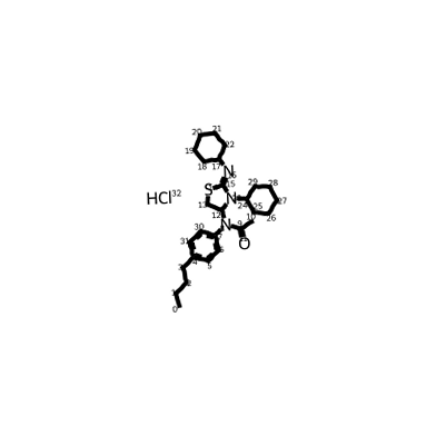 CCCCc1ccc(N(C(C)=O)C2CSC(=NC3CCCCC3)N2C2CCCCC2)cc1.Cl